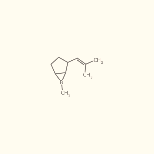 CB1C2CCC(C=C(C)C)C12